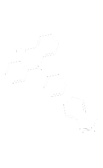 CCCCc1ccccc1N(c1ccccc1)c1ccccc1.c1ccc2snnc2c1